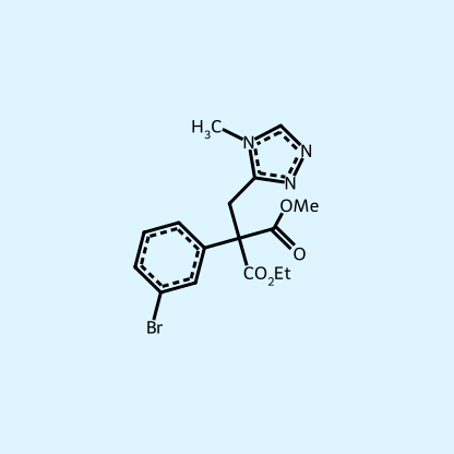 CCOC(=O)C(Cc1nncn1C)(C(=O)OC)c1cccc(Br)c1